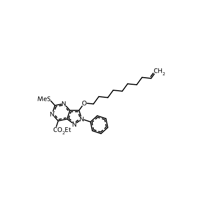 C=CCCCCCCCCOc1c2nc(SC)nc(C(=O)OCC)c2nn1-c1ccccc1